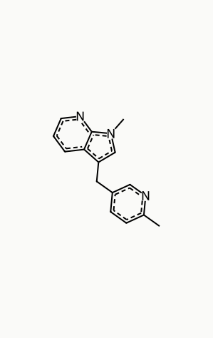 Cc1ccc(Cc2cn(C)c3ncccc23)cn1